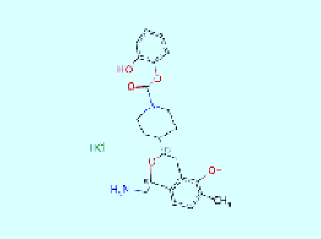 Cc1ccc2c(c1O)C[C@@H](C1CCN(C(=O)Oc3ccccc3O)CC1)O[C@H]2CN.Cl